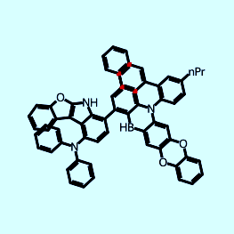 CCCc1ccc(N2c3cc4c(cc3Bc3c(-c5ccc(N(c6ccccc6)c6ccccc6)c6c5[nH]c5oc7ccccc7c56)cc(-c5ccccc5)cc32)Oc2ccccc2O4)c(-c2ccccc2)c1